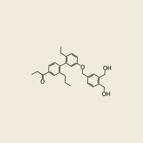 CCCc1cc(C(=O)CC)ccc1-c1cc(OCc2ccc(CO)c(CO)c2)ccc1CC